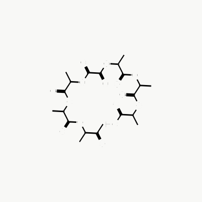 CC(=O)C(C)OC(=O)C(C)OC(=O)C(C)OC(=O)C(=O)OC(C)C(=O)OC(C)C(=O)OC(C)C(=O)O